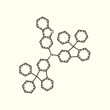 c1ccc(C2(c3ccccc3)c3ccccc3-c3cc(N(c4ccc5c(c4)C(c4ccccc4)(c4ccccc4)c4ccccc4-5)c4ccc5c(c4)sc4ccccc45)ccc32)cc1